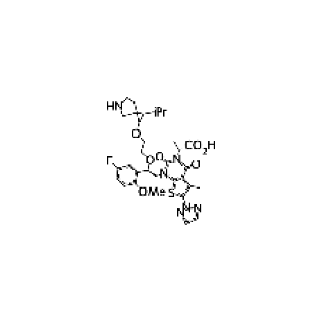 COc1ccc(F)cc1[C@H](Cn1c(=O)n([C@H](C)C(=O)O)c(=O)c2c(C)c(-n3nccn3)sc21)OCCOC1C(C(C)C)C12CCNC2